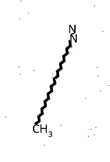 CCCCCCCCCCCCCCCCCCCCCCCC=NC#N